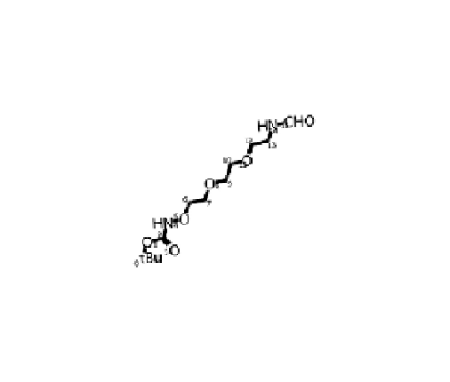 CC(C)(C)OC(=O)NOCCOCCOCCNC=O